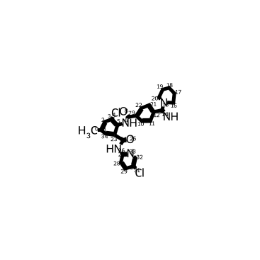 Cc1cc(Cl)c(NC(=O)c2ccc(C(=N)N3CCCCC3)cc2)c(C(=O)Nc2ccc(Cl)cn2)c1